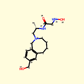 C[C@@H](CN1CCCCc2cc(CO)ccc2C1)NC(=O)CNO